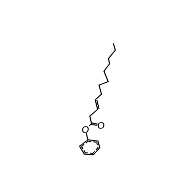 CCCCCCCCC=CCC(=O)Oc1ccccc1